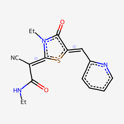 CCNC(=O)/C(C#N)=c1\s/c(=C\c2ccccn2)c(=O)n1CC